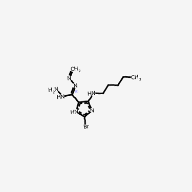 C=N/N=C(\NN)c1[nH]c(Br)nc1NCCCCC